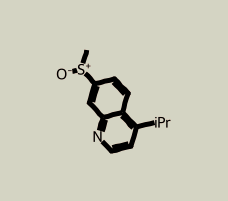 CC(C)c1ccnc2cc([S+](C)[O-])ccc12